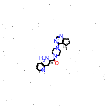 C[C@@H]1CCc2ncnc(N3CCN(C(=O)[C@H](N)Cc4ccccn4)CC3)c21